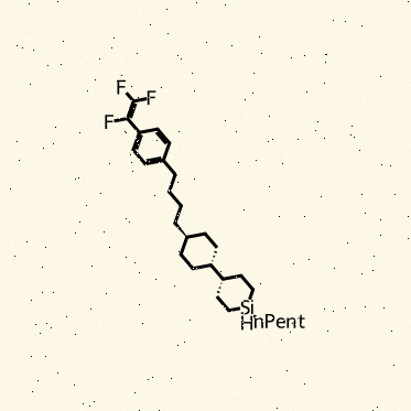 CCCCC[Si@H]1CC[C@H]([C@H]2CC[C@H](CCCCc3ccc(C(F)=C(F)F)cc3)CC2)CC1